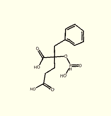 O=C(O)CCC(Cc1ccccc1)(O[PH](=O)O)C(=O)O